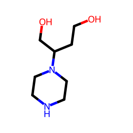 OCCC(CO)N1CCNCC1